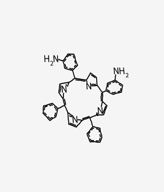 Nc1cccc(C2=C3C=CC(=N3)C(c3cccc(N)c3)=C3C=CC(=N3)C(c3ccccc3)=C3C=CC(=N3)C(c3ccccc3)=C3C=CC2=N3)c1